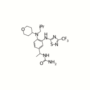 CC(C)CN(c1ccc(C(C)NC(N)=O)cc1Nc1nc(C(F)(F)F)ns1)C1CCOCC1